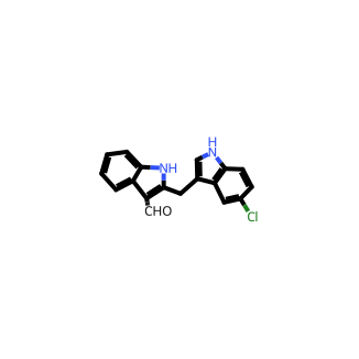 O=Cc1c(Cc2c[nH]c3ccc(Cl)cc23)[nH]c2ccccc12